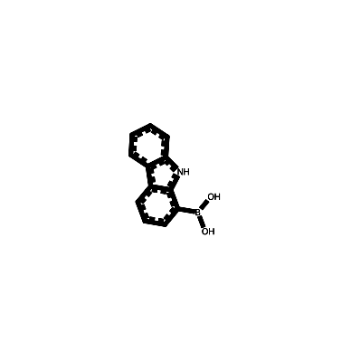 OB(O)c1cccc2c1[nH]c1ccccc12